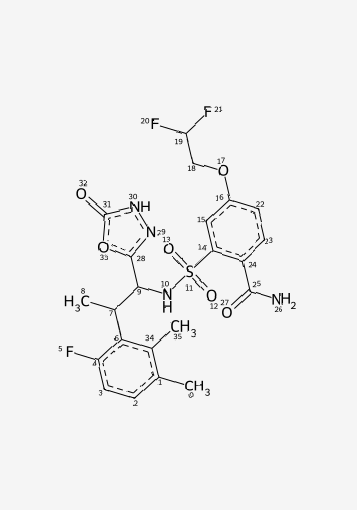 Cc1ccc(F)c(C(C)C(NS(=O)(=O)c2cc(OCC(F)F)ccc2C(N)=O)c2n[nH]c(=O)o2)c1C